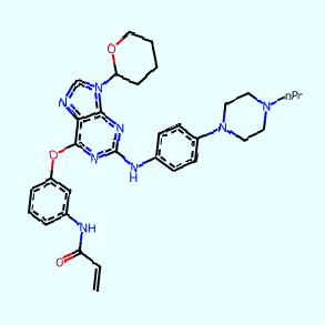 C=CC(=O)Nc1cccc(Oc2nc(Nc3ccc(N4CCN(CCC)CC4)cc3)nc3c2ncn3C2CCCCO2)c1